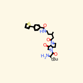 CC(CCNC(=O)c1ccc(-c2cccs2)cc1)CC(=O)N1CCC2C1C(=O)CN2C(=O)C(N)C(C)(C)C